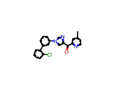 Cc1ccnc(C(=O)c2cn(-c3cccc(-c4ccccc4Cl)c3)cn2)c1